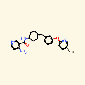 Nc1ccncc1C(=O)NC1CCC(=Cc2cccc(Oc3ccc(C(F)(F)F)cn3)c2)CC1